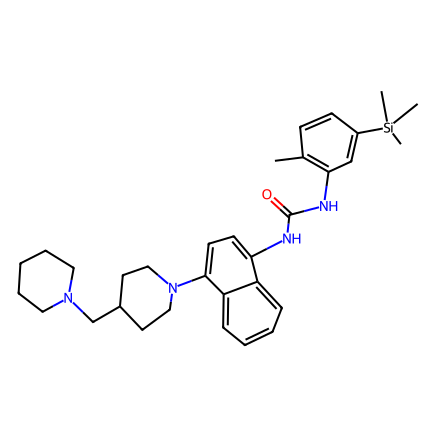 Cc1ccc([Si](C)(C)C)cc1NC(=O)Nc1ccc(N2CCC(CN3CCCCC3)CC2)c2ccccc12